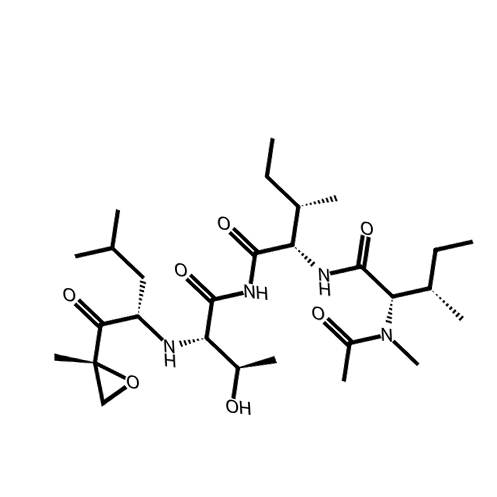 CC[C@H](C)[C@H](NC(=O)[C@H]([C@@H](C)CC)N(C)C(C)=O)C(=O)NC(=O)[C@@H](N[C@@H](CC(C)C)C(=O)[C@@]1(C)CO1)[C@@H](C)O